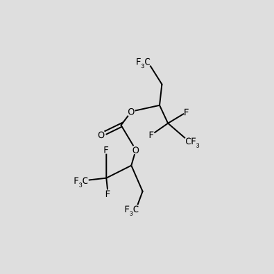 O=C(OC(CC(F)(F)F)C(F)(F)C(F)(F)F)OC(CC(F)(F)F)C(F)(F)C(F)(F)F